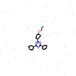 CCCOc1ccc(-c2nc(-c3ccccc3)nc(-c3ccccc3)n2)cc1